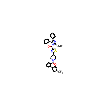 CSc1nc(-c2ccccc2)c(-c2ccccc2)n1C(=O)c1csc(C2CCN(C(=O)c3ccccc3-c3ccc(C(F)(F)F)cc3)CC2)n1